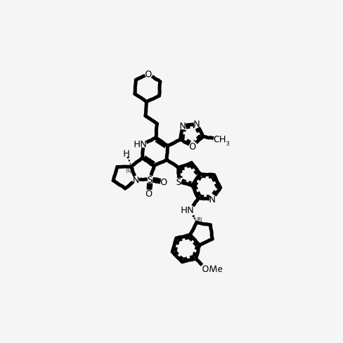 COc1cccc2c1CC[C@H]2Nc1nccc2cc(C3C(c4nnc(C)o4)=C(CCC4CCOCC4)NC4=C3S(=O)(=O)N3CCC[C@@H]43)sc12